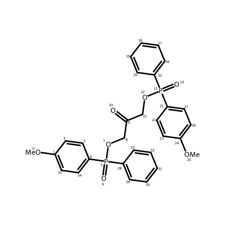 COc1ccc(P(=O)(OCC(=O)COP(=O)(c2ccccc2)c2ccc(OC)cc2)c2ccccc2)cc1